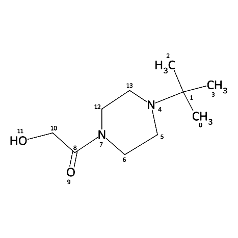 CC(C)(C)N1CCN(C(=O)CO)CC1